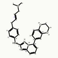 CN(C)C/C=C/Cc1ccc(Nc2nc3cccc(-c4ccc5c(c4)OCCO5)n3n2)cc1